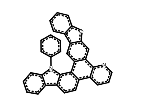 c1ccc(-n2c3ccccc3c3ccc4c5cccnc5c5cc6sc7ccccc7c6cc5c4c32)cc1